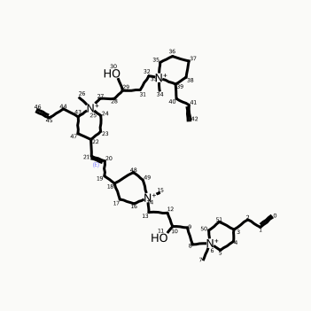 C=CCC1CC[N+](C)(CCC(O)CC[N+]2(C)CCC(C/C=C/C3CC[N+](C)(CCC(O)CC[N+]4(C)CCCCC4CC=C)C(CC=C)C3)CC2)CC1